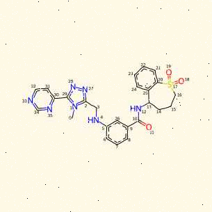 Cn1c(CNc2cccc(C(=O)NC3CCCS(=O)(=O)c4ccccc43)c2)nnc1-c1ccncn1